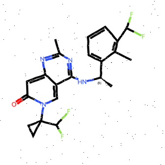 Cc1nc(N[C@H](C)c2cccc(C(F)F)c2C)c2cn(C3(C(F)F)CC3)c(=O)cc2n1